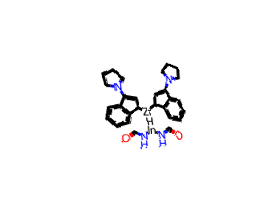 C1=C(N2CCCC2)c2ccccc2[CH]1[Zr][CH]1C=C(N2CCCC2)c2ccccc21.O=C[NH][InH][NH]C=O